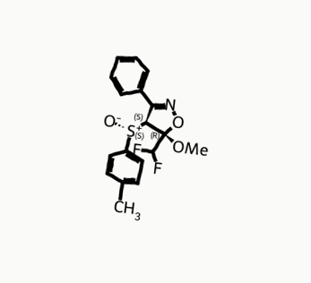 CO[C@]1(C(F)F)ON=C(c2ccccc2)[C@@H]1[S@@+]([O-])c1ccc(C)cc1